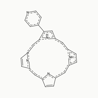 C1=Cc2cc3ccc(cc4cc(-c5ccncc5)c(cc5nc(cc1n2)C=C5)[nH]4)[nH]3